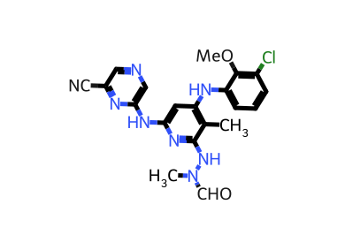 COc1c(Cl)cccc1Nc1cc(Nc2cncc(C#N)n2)nc(NN(C)C=O)c1C